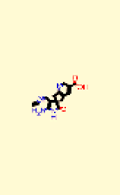 C=C/N=C\C1=C(N)NC(=O)[C@]12Cc1cc(C(=O)O)cnc1C2